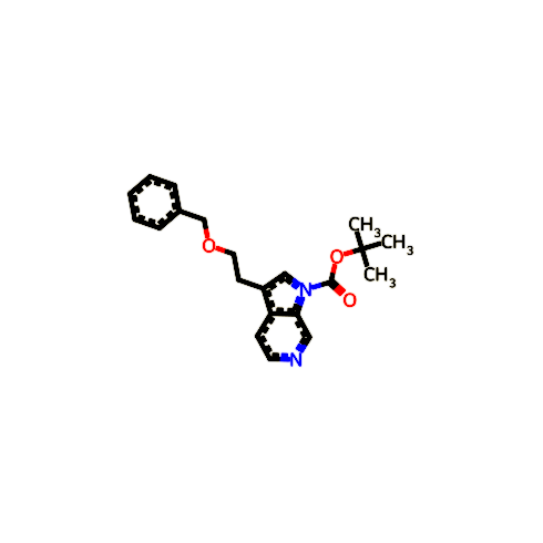 CC(C)(C)OC(=O)n1cc(CCOCc2ccccc2)c2ccncc21